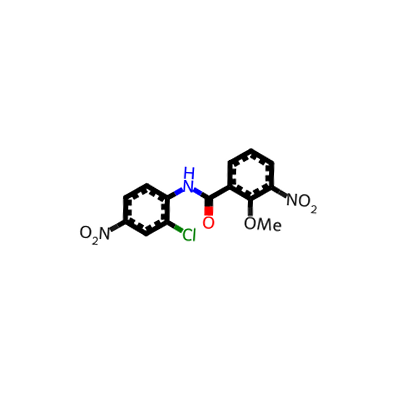 COc1c(C(=O)Nc2ccc([N+](=O)[O-])cc2Cl)cccc1[N+](=O)[O-]